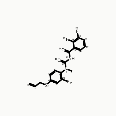 C=CCSc1ccc(N(C)C(=O)NC(=O)c2cccc(F)c2F)c(F)c1